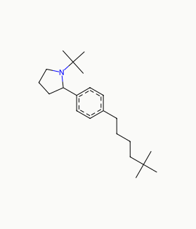 CC(C)(C)CCCCc1ccc(C2CCCN2C(C)(C)C)cc1